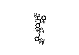 COC(=O)C(=O)c1c(-c2ccc(Cl)c(S(=O)(=O)NCCc3ccccc3OC(F)(F)F)c2)[nH]c2ccccc12